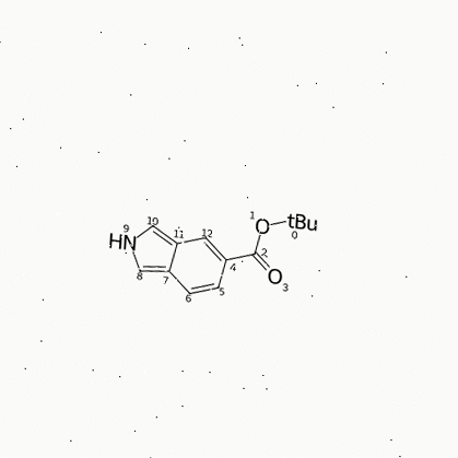 CC(C)(C)OC(=O)c1ccc2c[nH]cc2c1